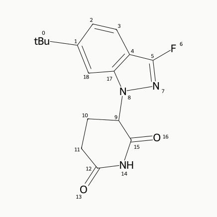 CC(C)(C)c1ccc2c(F)nn(C3CCC(=O)NC3=O)c2c1